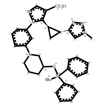 CCOC(=O)c1cnn(-c2cccc(N3CCCC(O[Si](c4ccccc4)(c4ccccc4)C(C)(C)C)C3)c2)c1[C@@H]1C[C@H]1c1cn(C)nn1